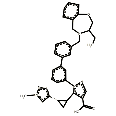 CCC1COc2ccccc2CN1Cc1cccc(-c2cccc(-n3ncc(C(=O)O)c3C3C[C@@H]3c3cn(C)nn3)c2)c1